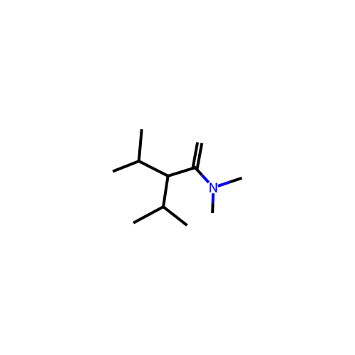 C=C(C(C(C)C)C(C)C)N(C)C